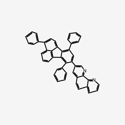 c1ccc(-c2cc(-c3cnc4c(ccc5cccnc54)c3)c(-c3ccccc3)c3c2-c2ccc(-c4ccccc4)c4cccc-3c24)cc1